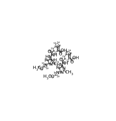 COC1CN(c2nc(C)nc(NNC(=O)[C@@H](CNC(=O)O)CC3CCCC3)c2F)C1.COC1CN(c2nc(C)nc(NNC(=O)[C@@H](CNC(=O)O)CC3CCCC3)c2F)C1